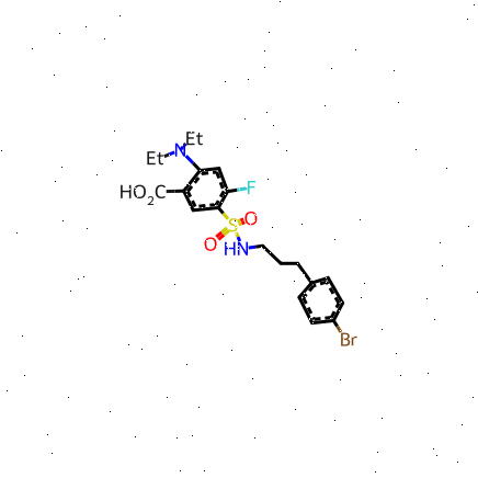 CCN(CC)c1cc(F)c(S(=O)(=O)NCCCc2ccc(Br)cc2)cc1C(=O)O